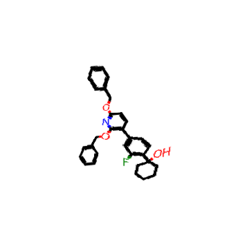 OC1(c2ccc(-c3ccc(OCc4ccccc4)nc3OCc3ccccc3)cc2F)CCCCC1